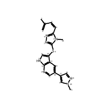 C=C(C)/C=C\c1nnc(Sc2c[nH]c3ncc(-c4cnn(C)c4)cc23)n1C